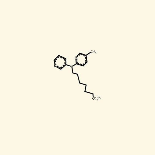 CCOC(=O)CCCCCCN(c1cccnc1)c1ccc(C)cn1